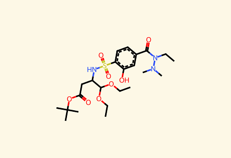 CCOC(OCC)C(CC(=O)OC(C)(C)C)NS(=O)(=O)c1ccc(C(=O)N(CC)N(C)C)cc1O